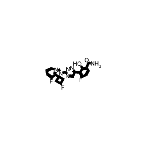 CN(c1ncc(-c2c(F)ccc(C(N)=O)c2O)nn1)[C@]1(c2ncccc2F)C[C@@H](F)C1